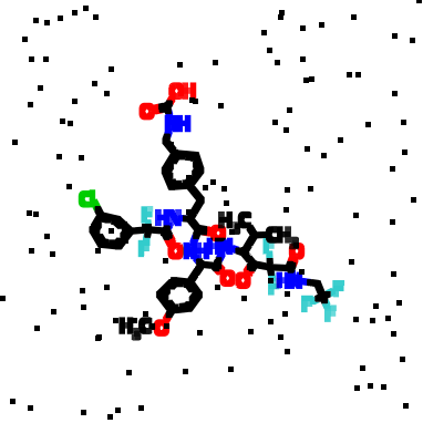 COc1ccc(C(NC(=O)C(Cc2ccc(CNC(=O)O)cc2)NC(=O)C(F)(F)c2cccc(Cl)c2)C(=O)NC(C(=O)C(F)(F)C(=O)NCC(F)(F)F)C(C)C)cc1